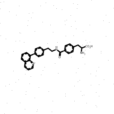 NC(Cc1ccc(C(=O)NCCc2ccc(-c3cccc4cccnc34)cc2)cc1)C(=O)O